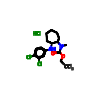 CN(C(=O)OCC(Cl)(Cl)Cl)[C@@H]1CCCCC[C@H]1Nc1ccc(Cl)c(Cl)c1.Cl